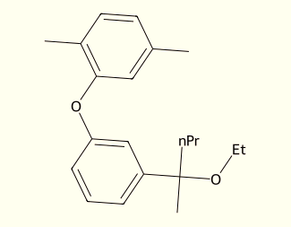 CCCC(C)(OCC)c1cccc(Oc2cc(C)ccc2C)c1